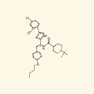 CCCCOc1ccc(C[C@H](NC(=O)C2CCC(C(C)(C)C)CC2)c2nc(-c3ccc(Cl)cc3Cl)c[nH]2)cc1